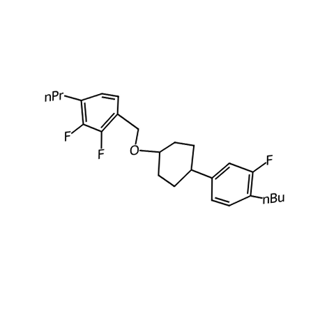 CCCCc1ccc(C2CCC(OCc3ccc(CCC)c(F)c3F)CC2)cc1F